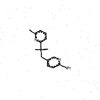 Cc1cccc(C(C)(C)Cc2ccc(C(C)C)nc2)n1